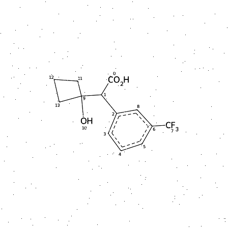 O=C(O)C(c1cccc(C(F)(F)F)c1)C1(O)CCC1